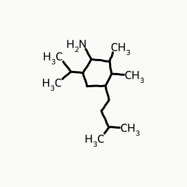 CC(C)CCC1CC(C(C)C)C(N)C(C)C1C